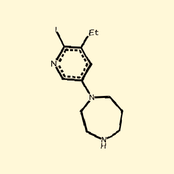 CCc1cc(N2CCCNCC2)cnc1I